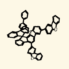 c1ccc(-c2cccc(-n3c4ccc(-c5ccc6oc7ccccc7c6c5)cc4c4cc(-c5ccc6oc7ccccc7c6c5)c5c(c43)C3(c4ccccc4-c4ccccc43)c3ccccc3-5)c2)cc1